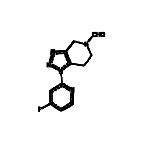 O=CN1CCc2c(nnn2-c2cc(F)ccn2)C1